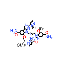 CCn1nc(C)cc1C(=O)Nc1nc2cc(C(N)=O)cc(OC(C)C)c2n1C/C=C/Cn1c2nc(-c3cc(C)nn3CC)ncc2c2cc(C(N)=O)cc(OCCCOC)c21